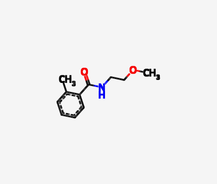 COCCNC(=O)c1ccccc1C